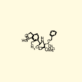 COC(=O)[C@@H](NC(=O)c1ccc2c(c1C)B(O)OC2)C(C)OCc1ccccc1